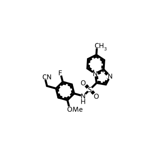 COc1cc(CC#N)c(F)cc1NS(=O)(=O)c1cnc2cc(C)ccn12